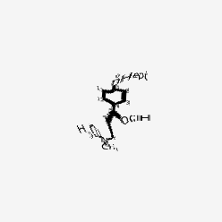 CCCCCCCc1ccc(C(=O)CCN(C)C)cc1.Cl